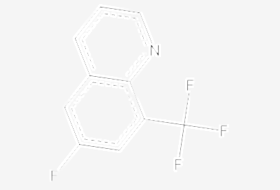 Fc1cc(C(F)(F)F)c2ncccc2c1